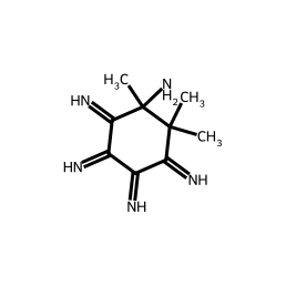 CC1(C)C(=N)C(=N)C(=N)C(=N)C1(C)N